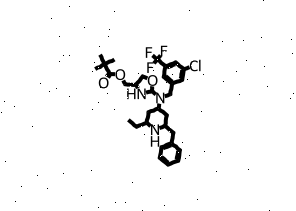 CCC1CC(N(Cc2cc(Cl)cc(C(F)(F)F)c2)C2NC(COC(=O)C(C)(C)C)CO2)CC(Cc2ccccc2)N1